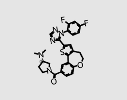 CN(C)[C@H]1CCN(C(=O)c2ccc3c(c2)-c2sc(-c4ncnn4-c4ccc(F)cc4F)cc2CCO3)C1